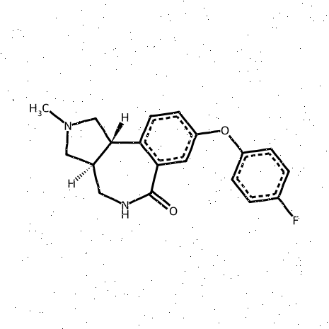 CN1C[C@@H]2CNC(=O)c3cc(Oc4ccc(F)cc4)ccc3[C@H]2C1